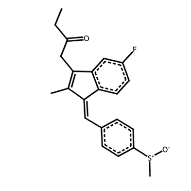 CCC(=O)CC1=C(C)/C(=C/c2ccc([S+](C)[O-])cc2)c2ccc(F)cc21